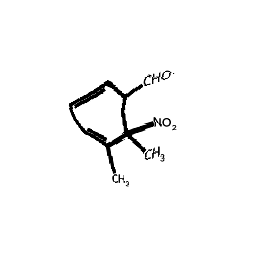 CC1=CC=CC([C]=O)C1(C)[N+](=O)[O-]